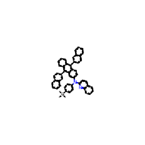 C[Si](C)(C)c1ccc(N(c2ccc3c(-c4ccc5ccccc5c4)c4ccccc4c(-c4ccc5ccccc5c4)c3c2)c2ccc3ccccc3n2)cc1